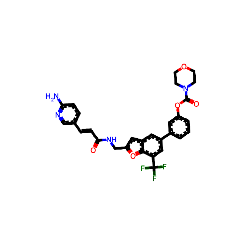 Nc1ccc(C=CC(=O)NCc2cc3cc(-c4cccc(OC(=O)N5CCOCC5)c4)cc(C(F)(F)F)c3o2)cn1